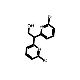 OCC(c1cccc(Br)n1)c1cccc(Br)n1